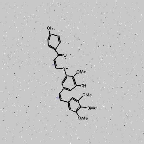 COc1cc(/C=C\c2cc(O)c(OC)c(N/C=C\C(=O)c3ccc(O)cc3)c2)cc(OC)c1OC